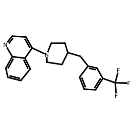 FC(F)(F)c1cccc(CC2CCN(c3ccnc4ccccc34)CC2)c1